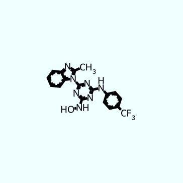 Cc1nc2ccccc2n1-c1nc(NO)nc(Nc2ccc(C(F)(F)F)cc2)n1